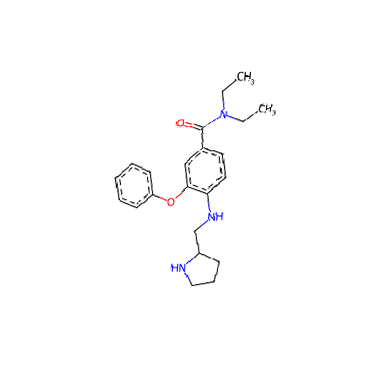 CCN(CC)C(=O)c1ccc(NCC2CCCN2)c(Oc2ccccc2)c1